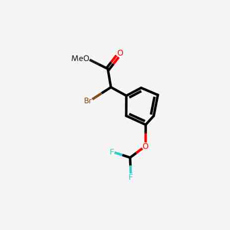 COC(=O)C(Br)c1cccc(OC(F)F)c1